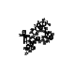 CCO[C@H](C)COCc1ccc([C@H]2[C@H](CNC(C)=O)CN(C(=O)OC(C)(C)C)C[C@@H]2OCc2ccc3c(c2)N(CCCOC)CCO3)cc1